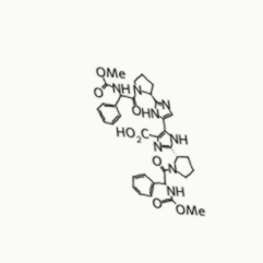 COC(=O)N[C@@H](C(=O)N1CCC[C@H]1c1ncc(-c2[nH]c([C@@H]3CCCN3C(=O)[C@H](NC(=O)OC)c3ccccc3)nc2C(=O)O)[nH]1)c1ccccc1